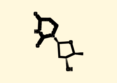 C[C@@H]1O[C@@H](n2ccc(=O)[nH]c2=O)C[C@H]1O